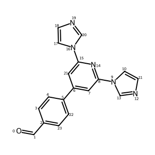 O=Cc1ccc(-c2cc(-n3ccnc3)nc(-n3ccnc3)c2)cc1